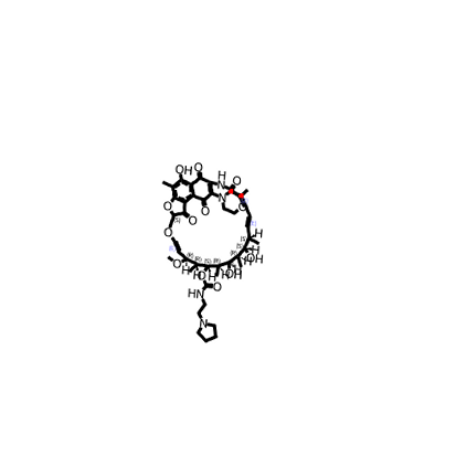 CO[C@H]1/C=C/O[C@@]2(C)Oc3c(C)c(O)c4c(c3C2=O)C(=O)C(N2CCOCC2)=C(NC(=O)/C(C)=C\C=C\[C@H](C)[C@H](O)[C@@H](C)[C@@H](O)[C@@H](C)[C@H](OC(=O)NCCN2CCCC2)[C@@H]1C)C4=O